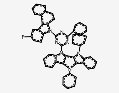 Fc1ccc2c(c1)c1c3ccccc3ccc1n2-c1nc(-c2ccccc2)nc(-n2c3ccccc3c3c2c2c(c4ccccc4n2-c2ccccc2)n3-c2ccccc2)n1